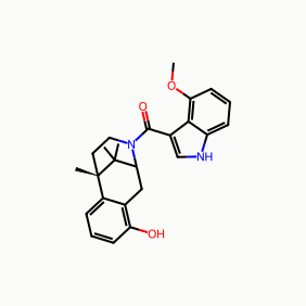 COc1cccc2[nH]cc(C(=O)N3CC[C@@]4(C)c5cccc(O)c5CC3C4(C)C)c12